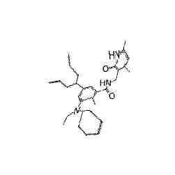 CCCC(CCC)c1cc(C(=O)NCc2c(C)cc(C)[nH]c2=O)c(C)c(N(CC)C2CCCCC2)c1